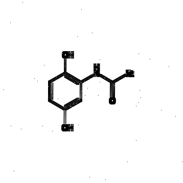 CCC(=O)Nc1cc(O)ccc1O